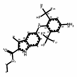 CCOC(=O)c1[nH]c2ccc(Oc3c(C(F)(F)F)cc(N)cc3C(F)(F)F)cc2c1C